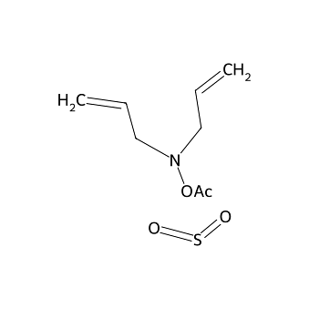 C=CCN(CC=C)OC(C)=O.O=S=O